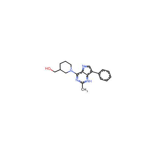 Cc1nc(N2CCCC(CO)C2)c2ncc(-c3ccccc3)c-2[nH]1